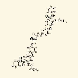 CCCSc1nc(Oc2ccc(CCC(=O)OC(=O)COc3ccc(Sc4ccc(C(=O)NC5CCCCC5)c(SCCC)n4)cc3)cc2)ccc1C(=O)NC1CCCCC1